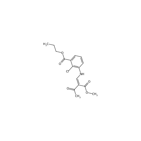 CCCOC(=O)c1cccc(NC=C(C(C)=O)C(=O)OC)c1Cl